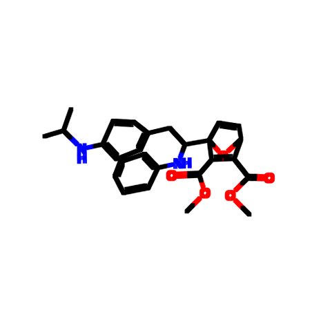 COC(=O)C1=C(C(=O)OC)C2(C(Cc3ccc(NC(C)C)cc3)Nc3ccccc3)C=CC1O2